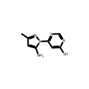 Cc1cc(N)n(-c2cc(S)ncn2)n1